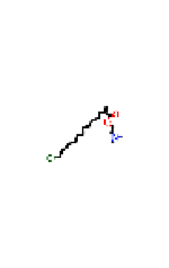 C=C(CCCCCCCCCCCCCl)C(=O)OCCN(C)C